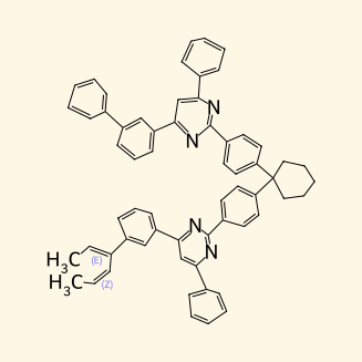 C/C=C\C(=C/C)c1cccc(-c2cc(-c3ccccc3)nc(-c3ccc(C4(c5ccc(-c6nc(-c7ccccc7)cc(-c7cccc(-c8ccccc8)c7)n6)cc5)CCCCC4)cc3)n2)c1